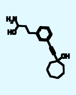 NC(O)CCc1cccc(C#CC2(O)CCCCCC2)c1